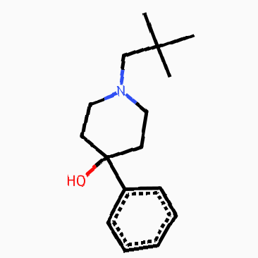 CC(C)(C)CN1CCC(O)(c2ccccc2)CC1